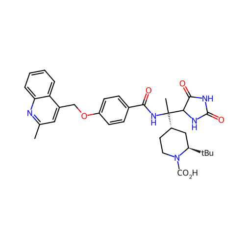 Cc1cc(COc2ccc(C(=O)NC(C)(C3NC(=O)NC3=O)[C@H]3CCN(C(=O)O)[C@H](C(C)(C)C)C3)cc2)c2ccccc2n1